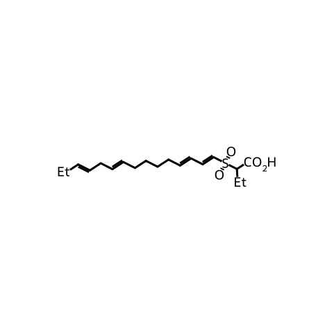 CCC=CCC=CCCCCC=CC=CS(=O)(=O)C(CC)C(=O)O